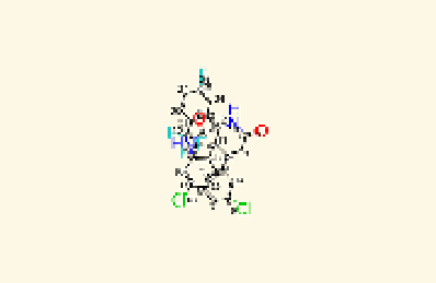 O=C1C[C@@H](c2cccc(Cl)c2)[C@]2(C(=O)Nc3cc(Cl)ccc32)[C@@H](c2cc(F)ccc2C(F)(F)F)N1